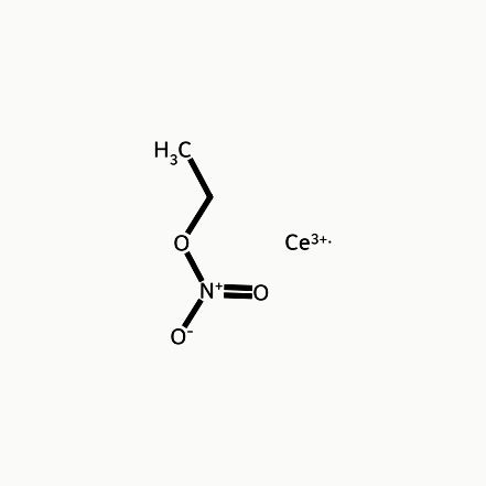 CCO[N+](=O)[O-].[Ce+3]